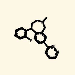 CN1CCC(c2ccccc2F)c2ccc(-c3cccnn3)cc2C1